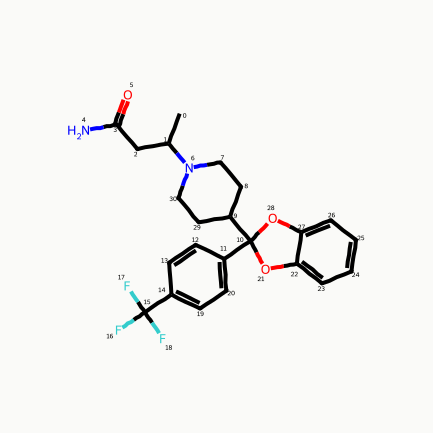 CC(CC(N)=O)N1CCC(C2(c3ccc(C(F)(F)F)cc3)Oc3ccccc3O2)CC1